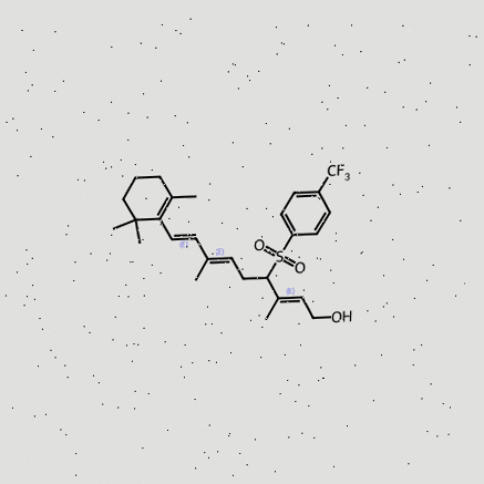 CC1=C(/C=C/C(C)=C/CC(/C(C)=C/CO)S(=O)(=O)c2ccc(C(F)(F)F)cc2)C(C)(C)CCC1